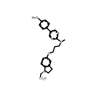 COc1ccc(-c2cnc(N(C)CCCOc3ccc4c(c3)CC[C@H]4CC(=O)O)nc2)cc1